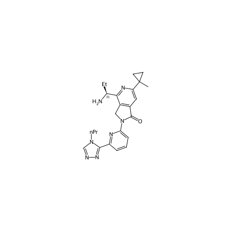 CCCn1cnnc1-c1cccc(N2Cc3c(cc(C4(C)CC4)nc3[C@@H](N)CC)C2=O)n1